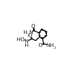 NC(=O)c1cccc(C(N)=O)c1CC(=O)NO